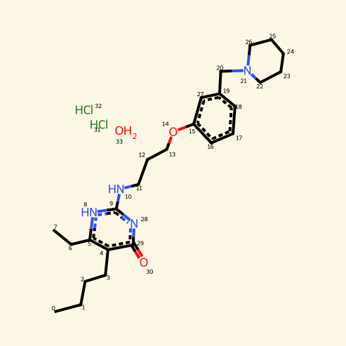 CCCCc1c(CC)[nH]c(NCCCOc2cccc(CN3CCCCC3)c2)nc1=O.Cl.Cl.O